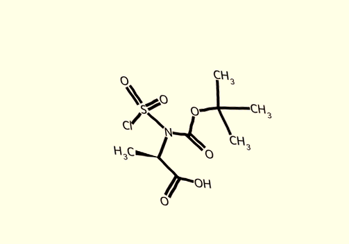 C[C@H](C(=O)O)N(C(=O)OC(C)(C)C)S(=O)(=O)Cl